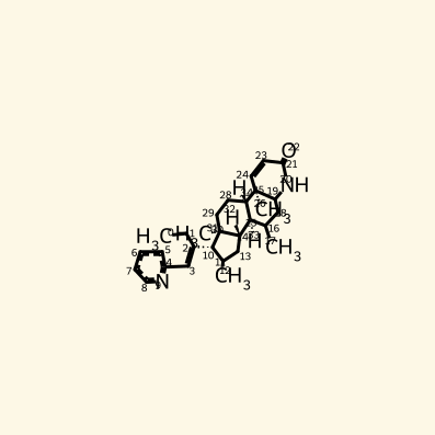 CC/C(=C\c1ccccn1)[C@H]1C(C)C[C@H]2[C@@H]3C(C)CC4NC(=O)C=C[C@]4(C)[C@H]3CC[C@]12C